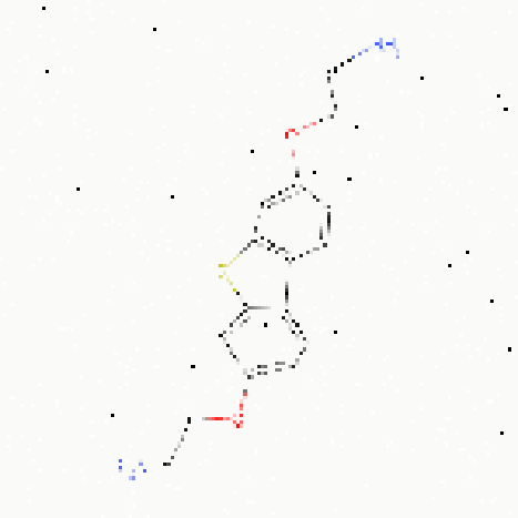 NCCOc1ccc2c(c1)sc1cc(OCCN)ccc12